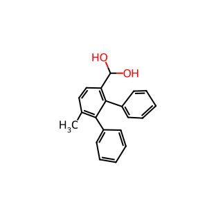 Cc1ccc(C(O)O)c(-c2ccccc2)c1-c1ccccc1